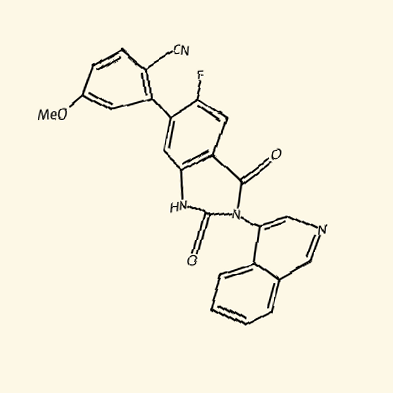 COc1ccc(C#N)c(-c2cc3[nH]c(=O)n(-c4cncc5ccccc45)c(=O)c3cc2F)c1